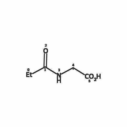 CCC(=O)N[CH]C(=O)O